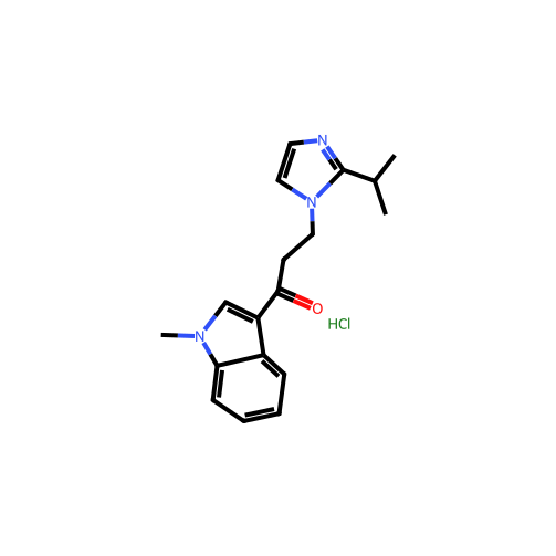 CC(C)c1nccn1CCC(=O)c1cn(C)c2ccccc12.Cl